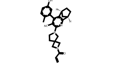 C=CC(=O)N1CC2(CCN(c3nc4c(c(-c5cc(O)ccc5C)c3C#N)[C@H]3CC[C@@H]4C3)C2)C1